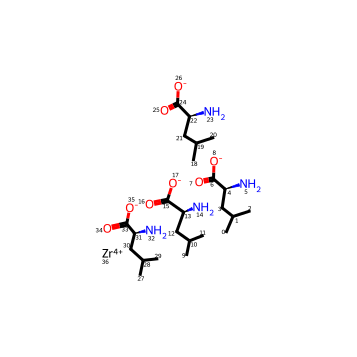 CC(C)C[C@H](N)C(=O)[O-].CC(C)C[C@H](N)C(=O)[O-].CC(C)C[C@H](N)C(=O)[O-].CC(C)C[C@H](N)C(=O)[O-].[Zr+4]